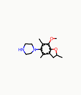 COc1c(C)c(N2CCNCC2)c(C)c2c1OC(C)C2